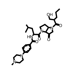 CCCC(CO)C(=O)N1CC(=O)C2C1CCN2C(=O)C(CC(C)C)NC(=O)c1ccc(N2CCN(C)CC2)cc1